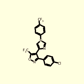 FC(F)(F)c1ccc(-n2cnc(-c3c(-c4ccc(Cl)cc4)noc3C(F)(F)F)c2)cc1